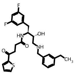 CCc1cccc(CNC[C@@H](O)[C@H](Cc2cc(F)cc(F)c2)NC(=O)CCC(=O)c2cccs2)c1